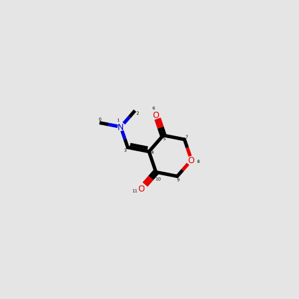 CN(C)C=C1C(=O)COCC1=O